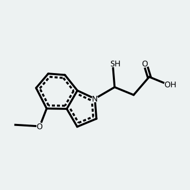 COc1cccc2c1ccn2C(S)CC(=O)O